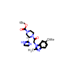 COc1ccc2nc(C)n(CC(=O)N3CCN(C(=O)OC(C)(C)C)C[C@H]3c3ncc[nH]3)c2c1